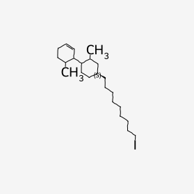 CC1CCC=CC1C1CC[C@H](CCCCCCCCCI)CC1C